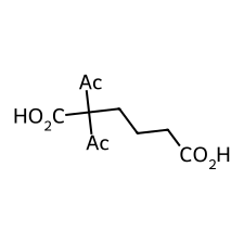 CC(=O)C(CCCC(=O)O)(C(C)=O)C(=O)O